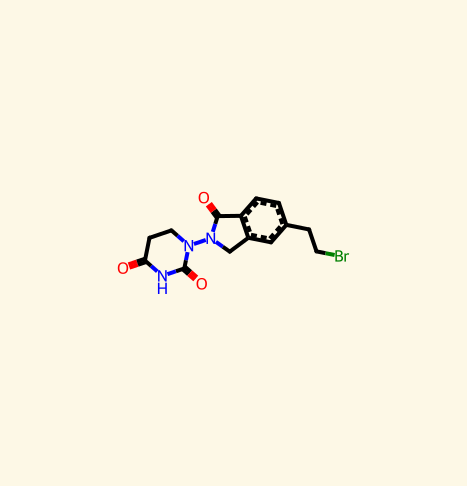 O=C1CCN(N2Cc3cc(CCBr)ccc3C2=O)C(=O)N1